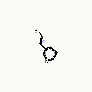 Br/C=C/c1cccnc1